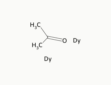 CC(C)=O.[Dy].[Dy]